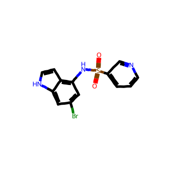 O=S(=O)(Nc1cc(Br)cc2[nH]ccc12)c1cccnc1